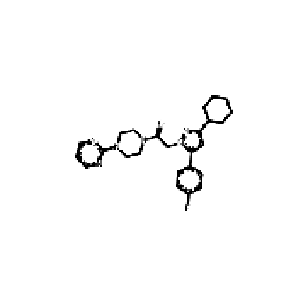 O=C(Cn1nc(C2CCCCC2)cc1-c1ccc(F)cc1)N1CCN(c2ncccn2)CC1